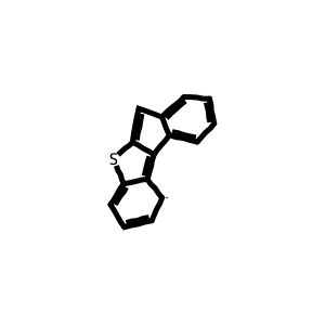 [CH]1C=CC=c2sc3c(c21)-c1ccccc1C=3